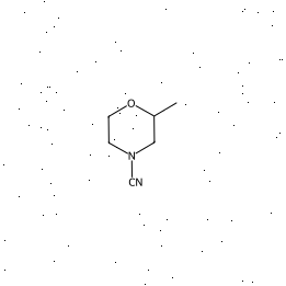 CC1CN(C#N)CCO1